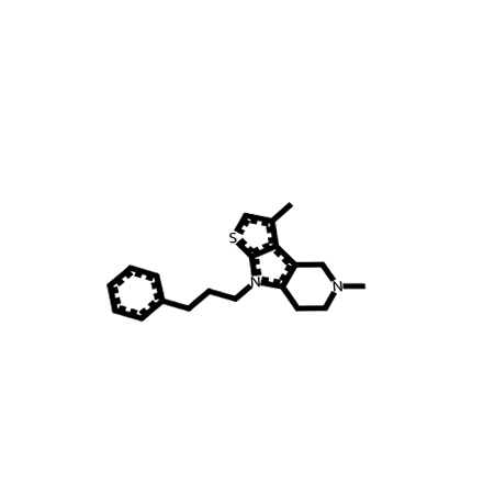 Cc1csc2c1c1c(n2CCCc2ccccc2)CCN(C)C1